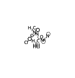 Cc1cccc2c1nc(COc1ccc(Cl)cc1)n2CCC(C)C(=O)N1CCCC[C@@H]1CCN1CCCCC1.Cl.Cl